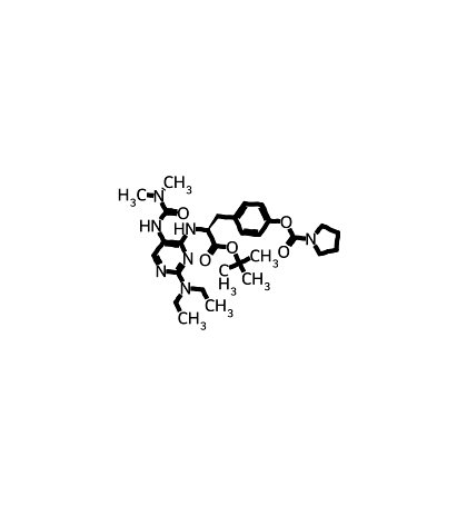 CCN(CC)c1ncc(NC(=O)N(C)C)c(N[C@@H](Cc2ccc(OC(=O)N3CCCC3)cc2)C(=O)OC(C)(C)C)n1